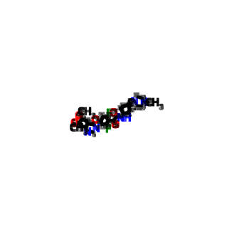 COc1cc2ncnc(Oc3cc(F)c(C(=O)C(=O)Nc4ccc(CN5CCN(C)CC5)cc4)c(F)c3)c2cc1OC